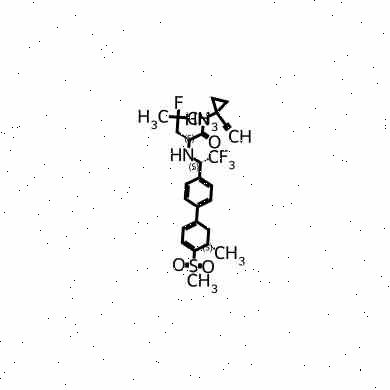 C#CC1(NC(=O)[C@H](CC(C)(C)F)N[C@@H](c2ccc(C3=CC=C(S(C)(=O)=O)[C@@H](C)C3)cc2)C(F)(F)F)CC1